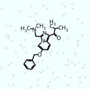 CC(C)C(=O)c1nc(CN(C)C)n2cc(OCc3ccccc3)ccc12